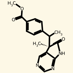 COC(=O)c1ccc(C(C)[C@@]2(C)C(=O)Nc3ncncc32)cc1